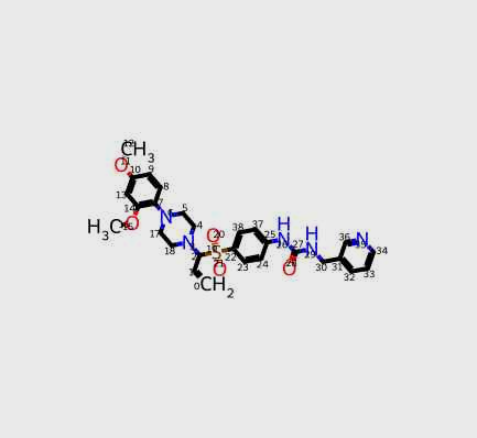 C=CC(N1CCN(c2ccc(OC)cc2OC)CC1)S(=O)(=O)c1ccc(NC(=O)NCc2cccnc2)cc1